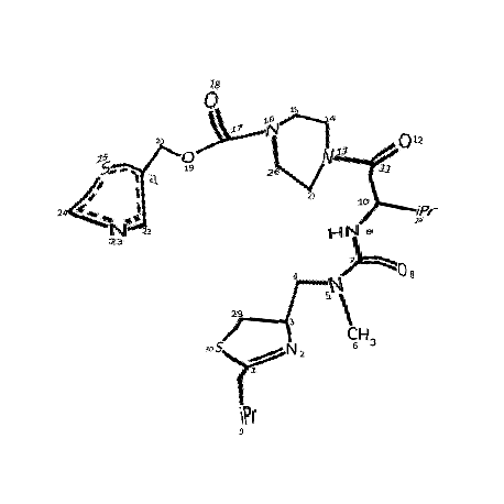 CC(C)C1=NC(CN(C)C(=O)NC(C(=O)N2CCN(C(=O)OCc3cncs3)CC2)C(C)C)CS1